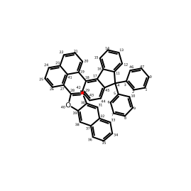 c1ccc(C2(c3ccccc3)c3ccccc3-c3c(-c4cccc5cccc(-c6nc7cc8ccccc8cc7o6)c45)cccc32)cc1